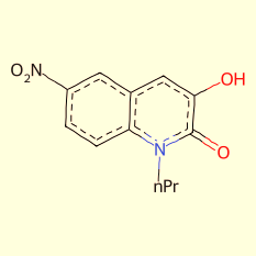 CCCn1c(=O)c(O)cc2cc([N+](=O)[O-])ccc21